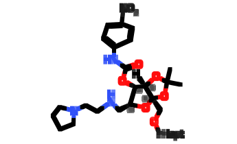 CCCCCCCOC[C@@]12O[C@@H](CNCCN3CCCC3)[C@@H](OC(=O)Nc3ccc([N+](=O)[O-])cc3)[C@@H]1OC(C)(C)O2